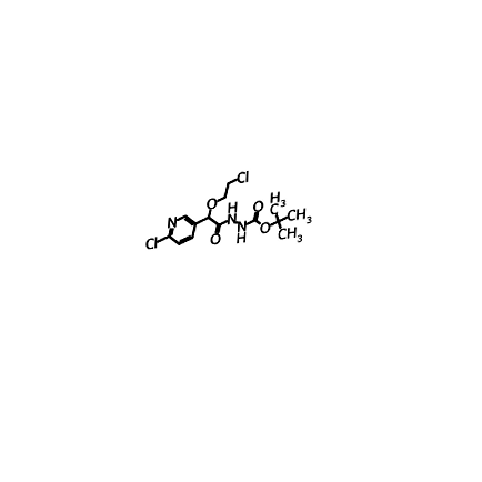 CC(C)(C)OC(=O)NNC(=O)C(OCCCl)c1ccc(Cl)nc1